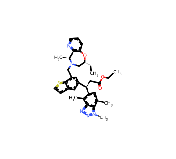 CCOC(=O)C[C@H](c1cc(CN2C[C@@H](CC)Oc3cccnc3[C@@H]2C)c2sccc2c1)c1cc(C)c2c(nnn2C)c1C